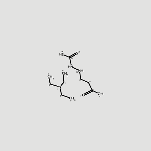 CCN(CC)CC.O=C(O)CCNNC(=S)S